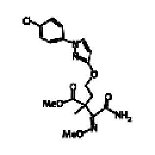 CO/N=C(/C(N)=O)C(C)(CCOc1ccn(-c2ccc(Cl)cc2)n1)C(=O)OC